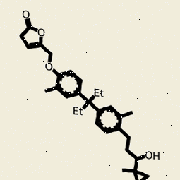 CCC(CC)(c1ccc(CCC(O)C2(C)CC2)c(C)c1)c1ccc(OCC2=CCC(=O)O2)c(C)c1